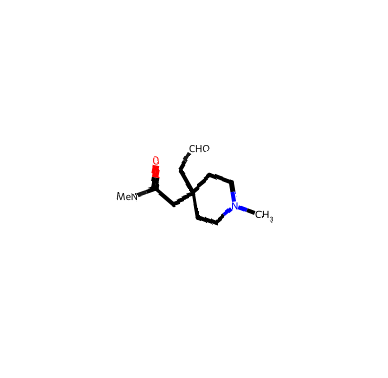 CNC(=O)CC1(CC=O)CCN(C)CC1